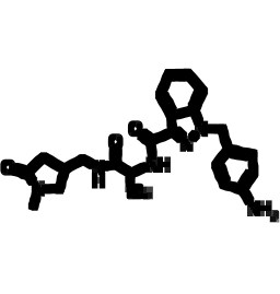 CN1CC(CNC(=O)C(NC(=O)c2nn(Cc3ccc(N)cc3)c3ccccc23)C(C)(C)C)CC1=O